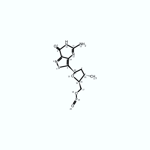 C[C@H]1C[C@H](c2snc3c(=O)[nH]c(N)nc23)O[C@@H]1COP=O